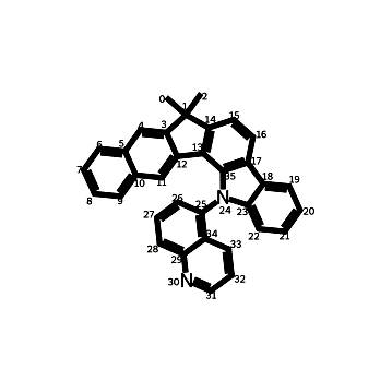 CC1(C)c2cc3ccccc3cc2-c2c1ccc1c3ccccc3n(-c3cccc4ncccc34)c21